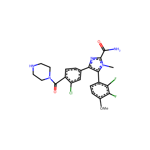 COc1ccc(-c2c(-c3ccc(C(=O)N4CCNCC4)c(Cl)c3)nc(C(N)=O)n2C)c(F)c1F